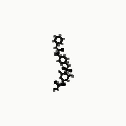 C=CC(=O)NC1CC(C)N(S(=O)(=O)Cc2ccc(NC(=O)Cc3ccccc3)cc2)C(C)C1